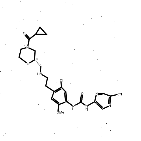 COc1cc(CCNC[C@H]2CN(C(=O)C3CC3)CCO2)c(Cl)cc1NC(=O)Nc1cnc(C#N)cn1